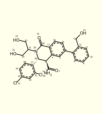 NC(=O)[C@@H]1c2cc(-c3ccccc3CO)ccc2C(=O)N(C(CO)CO)[C@H]1c1ccc(Cl)cc1Cl